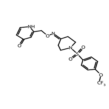 O=c1cc[nH]c(CON=C2CCN(S(=O)(=O)c3ccc(OC(F)(F)F)cc3)CC2)c1